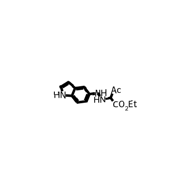 CCOC(=O)C(NNc1ccc2[nH]ccc2c1)C(C)=O